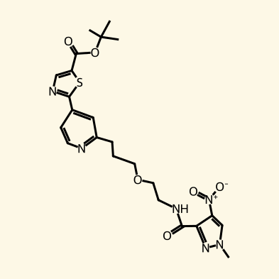 Cn1cc([N+](=O)[O-])c(C(=O)NCCOCCCc2cc(-c3ncc(C(=O)OC(C)(C)C)s3)ccn2)n1